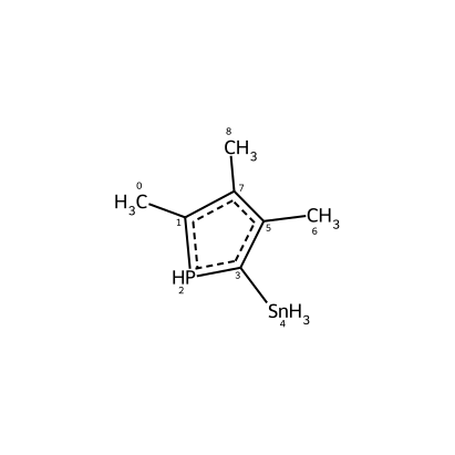 Cc1[pH][c]([SnH3])c(C)c1C